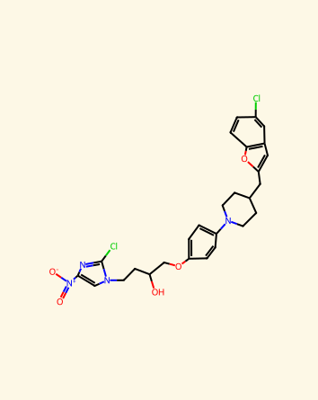 O=[N+]([O-])c1cn(CCC(O)COc2ccc(N3CCC(Cc4cc5cc(Cl)ccc5o4)CC3)cc2)c(Cl)n1